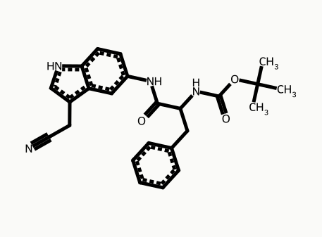 CC(C)(C)OC(=O)NC(Cc1ccccc1)C(=O)Nc1ccc2[nH]cc(CC#N)c2c1